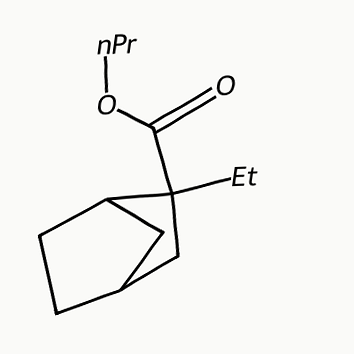 CCCOC(=O)C1(CC)CC2CCC1C2